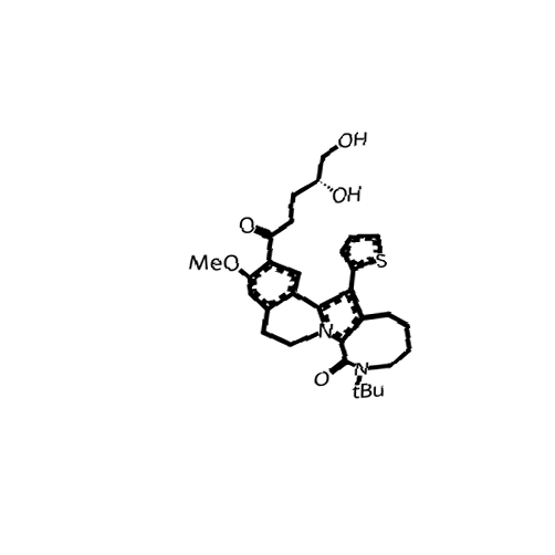 COc1cc2c(cc1C(=O)CC[C@@H](O)CO)-c1c(-c3cccs3)c3c(n1CC2)C(=O)N(C(C)(C)C)CCCC3